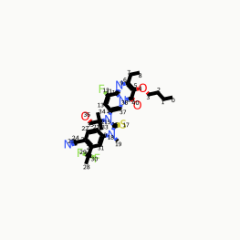 CCCCOc1c(CC)nc2c(F)cc(N(C(=S)N(C)c3ccc(C#N)c(C(C)(F)F)c3)C(C)(C)C=O)cn2c1=O